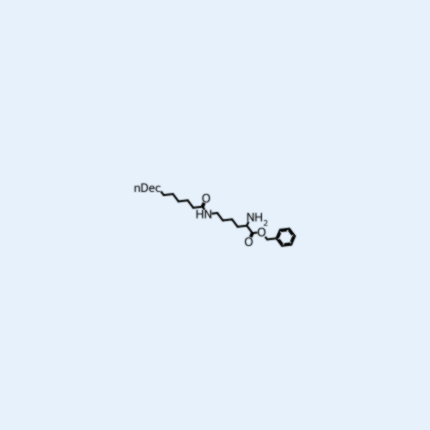 CCCCCCCCCCCCCCCC(=O)NCCCCC(N)C(=O)OCc1ccccc1